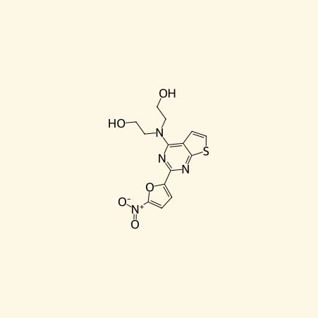 O=[N+]([O-])c1ccc(-c2nc(N(CCO)CCO)c3ccsc3n2)o1